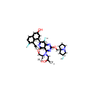 C#Cc1c(F)ccc2cc(O)cc(-c3nc4c5c(nc(OC[C@@]67CCCN6C[C@H](F)C7)nc5c3F)N(CC(O)C(F)(F)F)[C@@H](C)CO4)c12